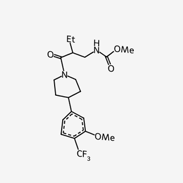 CCC(CNC(=O)OC)C(=O)N1CCC(c2ccc(C(F)(F)F)c(OC)c2)CC1